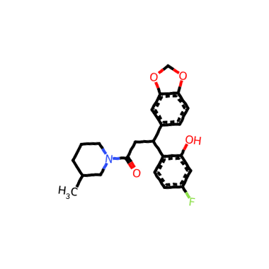 CC1CCCN(C(=O)CC(c2ccc3c(c2)OCO3)c2ccc(F)cc2O)C1